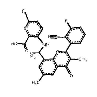 Cc1cc([C@@H](C)Nc2ccc(Cl)nc2C(=O)O)c2oc(-c3cccc(F)c3C#N)c(C)c(=O)c2c1